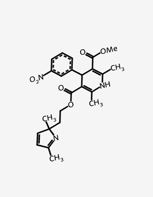 COC(=O)C1=C(C)NC(C)=C(C(=O)OCCC2(C)C=CC(C)=N2)C1c1cccc([N+](=O)[O-])c1